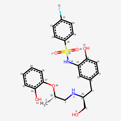 C[C@@H](CN[C@H](CO)Cc1ccc(O)c(NS(=O)(=O)c2ccc(F)cc2)c1)Oc1ccccc1O